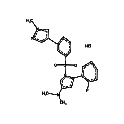 CN(C)c1cc(-c2ccccc2F)n(S(=O)(=O)c2cccc(-c3cnn(C)c3)c2)c1.Cl